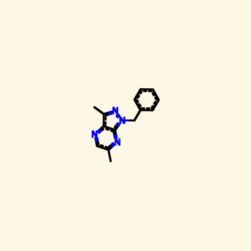 Cc1cnc2c(C)nn(Cc3ccccc3)c2n1